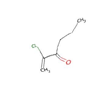 C=C(Cl)C(=O)CCC